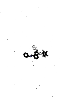 CC1=Cc2c(/C=C/c3ccccc3)cccc2[CH]1[Zr+2][C]1=C(C)C(C)=C(C)C1(C)C.[Cl-].[Cl-]